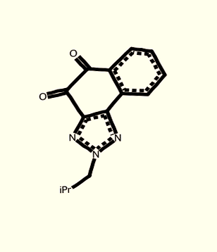 CC(C)Cn1nc2c(n1)-c1ccccc1C(=O)C2=O